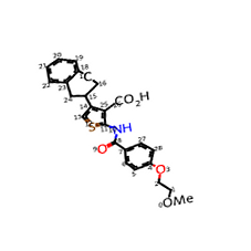 COCCOc1ccc(C(=O)Nc2scc(C3CCc4ccccc4C3)c2C(=O)O)cc1